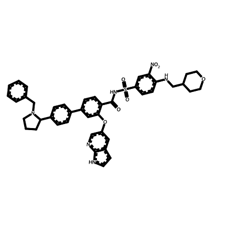 O=C(NS(=O)(=O)c1ccc(NCC2CCOCC2)c([N+](=O)[O-])c1)c1ccc(-c2ccc(C3CCCN3Cc3ccccc3)cc2)cc1Oc1cnc2[nH]ccc2c1